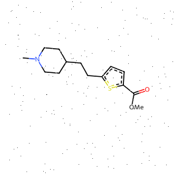 COC(=O)c1ccc(CCC2CCN(C)CC2)s1